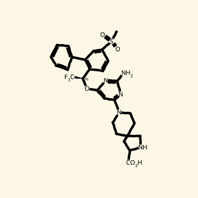 CS(=O)(=O)c1ccc([C@@H](Oc2cc(N3CCC4(CC3)CNC(C(=O)O)C4)nc(N)n2)C(F)(F)F)c(-c2ccccc2)c1